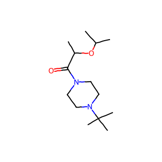 CC(C)OC(C)C(=O)N1CCN(C(C)(C)C)CC1